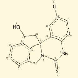 CN1C(=S)Nc2ccc(Cl)cc2C1(CCO)c1ccccc1